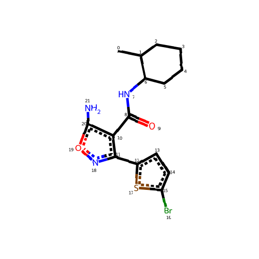 CC1CCCCC1NC(=O)c1c(-c2ccc(Br)s2)noc1N